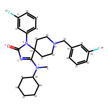 CN(C1=NC(=O)N(c2cccc(F)c2)C12CCN(Cc1cccc(F)c1)CC2)C1CCCCC1